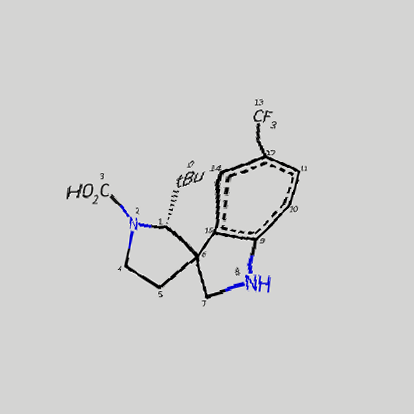 CC(C)(C)[C@H]1N(C(=O)O)CCC12CNc1ccc(C(F)(F)F)cc12